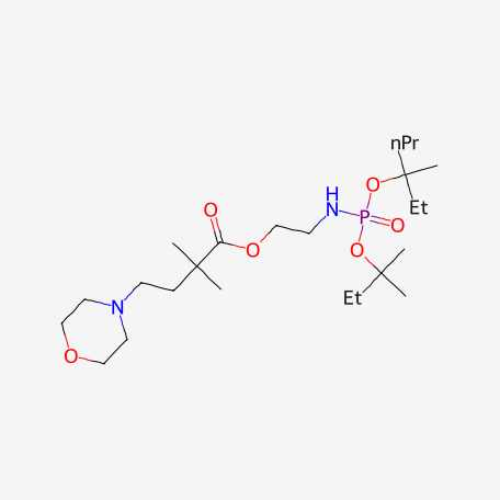 CCCC(C)(CC)OP(=O)(NCCOC(=O)C(C)(C)CCN1CCOCC1)OC(C)(C)CC